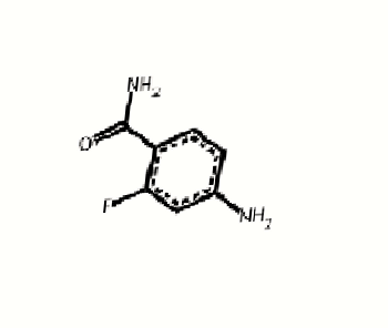 NC(=O)c1ccc(N)cc1F